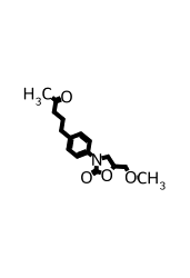 COCC1CN(c2ccc(CCCC(C)=O)cc2)C(=O)O1